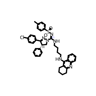 Cc1ccc(S(=O)(=O)/N=C(/NCCCCNc2c3c(nc4ccccc24)CCCC3)N2C[C@H](c3ccccc3)C(c3ccc(Cl)cc3)=N2)cc1